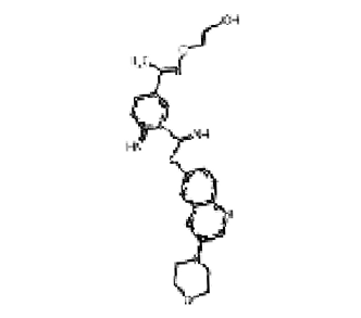 C/C(=N\OCCO)c1ccc(=N)n(C(=N)Sc2ccc3ncc(N4CCOCC4)cc3c2)c1